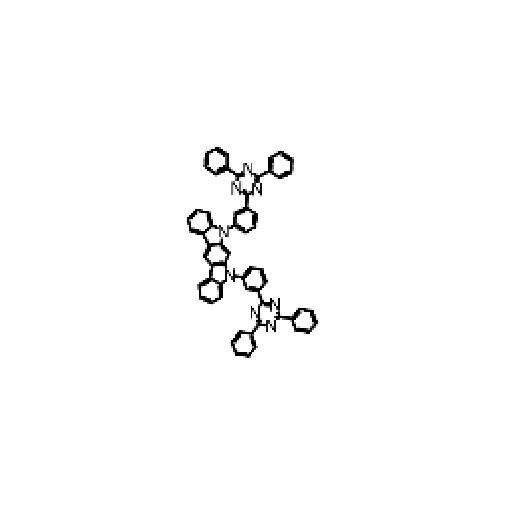 c1ccc(-c2nc(-c3ccccc3)nc(-c3cccc(-n4c5ccccc5c5cc6c7ccccc7n(-c7cccc(-c8nc(-c9ccccc9)nc(-c9ccccc9)n8)c7)c6cc54)c3)n2)cc1